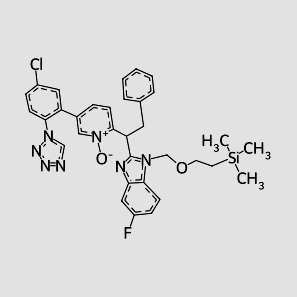 C[Si](C)(C)CCOCn1c(C(Cc2ccccc2)c2ccc(-c3cc(Cl)ccc3-n3cnnn3)c[n+]2[O-])nc2cc(F)ccc21